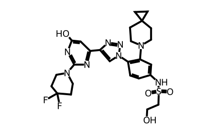 O=S(=O)(CCO)Nc1ccc(-n2cc(-c3cc(O)nc(N4CCC(F)(F)CC4)n3)nn2)c(N2CCC3(CC2)CC3)c1